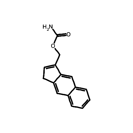 NC(=O)OCC1=CCc2cc3ccccc3cc21